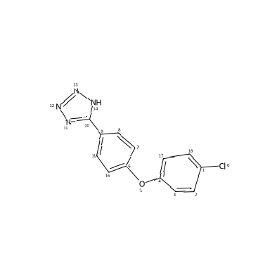 Clc1ccc(Oc2ccc(-c3nnn[nH]3)cc2)cc1